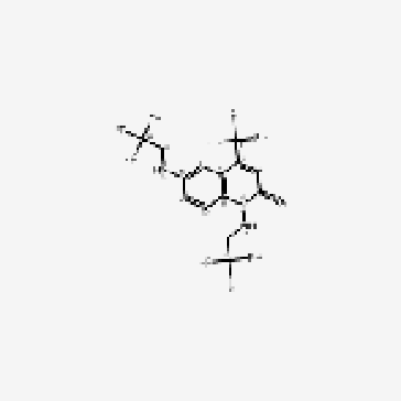 O=c1cc(C(F)(F)F)c2cc(NCC(F)(F)F)ccc2n1NCC(F)(F)F